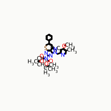 COc1c(C)cnc(Cn2nc3c4c(nc(N(C(=O)OC(C)(C)C)C(=O)OC(C)(C)C)nc42)SCC(c2ccccc2)=C3)c1C